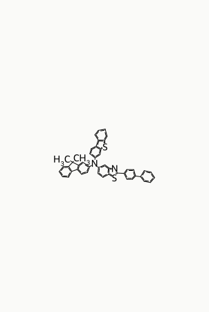 CC1(C)c2ccccc2-c2ccc(N(c3ccc4sc(-c5ccc(-c6ccccc6)cc5)nc4c3)c3ccc4c(c3)sc3ccccc34)cc21